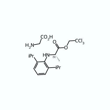 CC(C)c1cccc(C(C)C)c1N[C@@H](C)C(=O)OCC(Cl)(Cl)Cl.NCC(=O)O